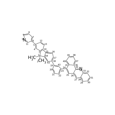 CC1(C)c2cc(-c3cccnc3)ccc2-c2ccc(-c3cccc(-c4cc5cc6ccccc6nc5c5ccccc45)c3)cc21